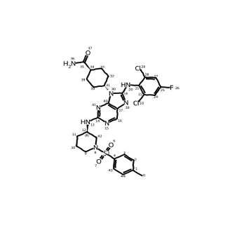 Cc1ccc(S(=O)(=O)N2CCC[C@@H](Nc3ncc4nc(Nc5c(Cl)cc(F)cc5Cl)n([C@H]5CC[C@H](C(N)=O)CC5)c4n3)C2)cc1